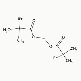 CC(C)C(C)(C)C(=O)OCOC(=O)C(C)(C)C(C)C